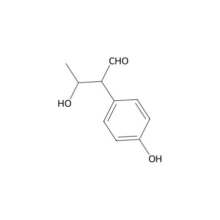 CC(O)C(C=O)c1ccc(O)cc1